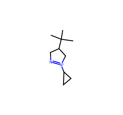 CC(C)(C)C1CN=[N+](C2CC2)C1